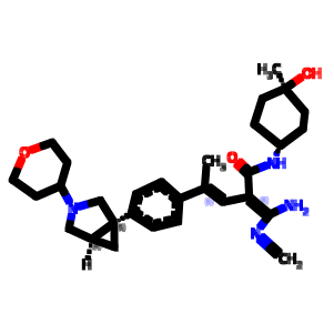 C=N/C(N)=C(\C=C(/C)c1ccc([C@]23C[C@H]2CN(C2CCOCC2)C3)cc1)C(=O)N[C@H]1CC[C@](C)(O)CC1